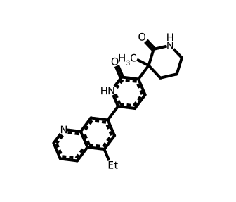 CCc1cc(-c2ccc(C3(C)CCCNC3=O)c(=O)[nH]2)cc2ncccc12